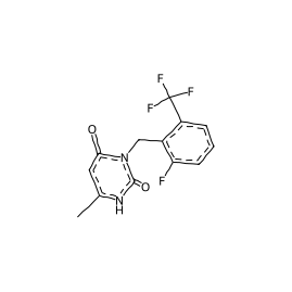 Cc1cc(=O)n(Cc2c(F)cccc2C(F)(F)F)c(=O)[nH]1